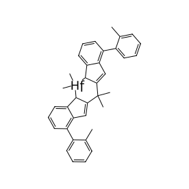 Cc1ccccc1-c1cccc2c1C=C1[CH]2[Hf]([CH3])([CH3])[CH]2C(=Cc3c(-c4ccccc4C)cccc32)C1(C)C